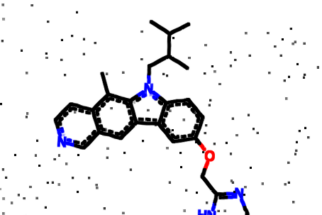 Cc1c2ccncc2cc2c3cc(OCC4=NCCN4)ccc3n(CC(C)C(C)C)c12